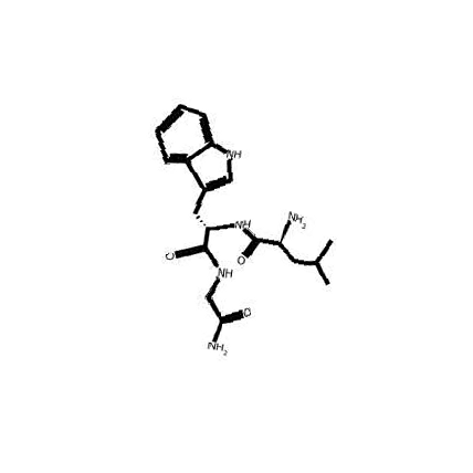 CC(C)C[C@H](N)C(=O)N[C@@H](Cc1c[nH]c2ccccc12)C(=O)NCC(N)=O